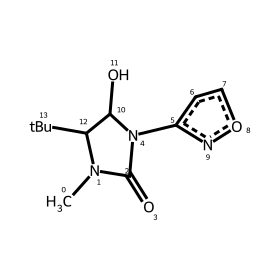 CN1C(=O)N(c2ccon2)C(O)C1C(C)(C)C